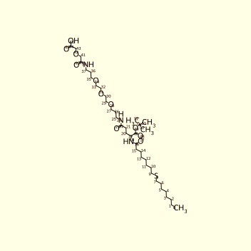 CCCCCCCCSCCCCCCCC(=O)NC(CCC(=O)NCCCOCCOCCOCCCNC(=O)COCC(=O)O)C(=O)OC(C)(C)C